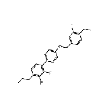 CCCc1ccc(-c2ccc(OCc3ccc(CC)c(F)c3)cc2)c(F)c1F